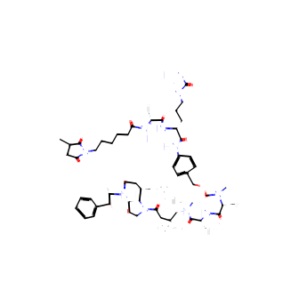 CC[C@H](C)[C@@H]([C@@H](CC(=O)N1CCC[C@H]1[C@H](OC)[C@@H](C)C(=O)N[C@H](C)[C@@H](O)c1ccccc1)OC)N(C)C(=O)[C@@H](NC(=O)[C@H](C(C)C)N(C)C(=O)OCc1ccc(NC(=O)[C@H](CCCNC(N)=O)NC(=O)[C@@H](NC(=O)CCCCCN2C(=O)CC(C)C2=O)C(C)C)cc1)C(C)C